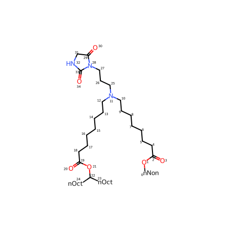 CCCCCCCCCOC(=O)CCCCCCCN(CCCCCCCC(=O)OC(CCCCCCCC)CCCCCCCC)CCCN1C(=O)CNC1=O